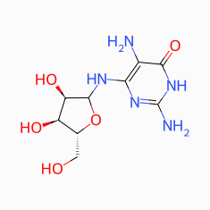 Nc1nc(NC2O[C@H](CO)[C@@H](O)[C@H]2O)c(N)c(=O)[nH]1